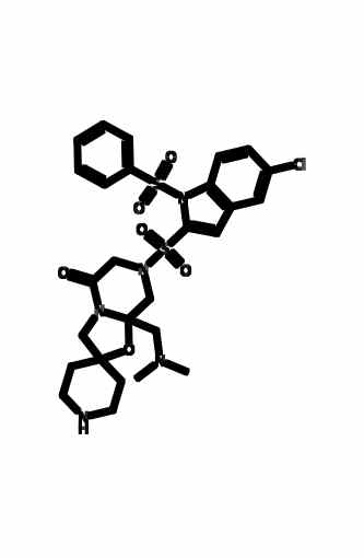 CN(C)CC12CN(S(=O)(=O)c3cc4cc(Cl)ccc4n3S(=O)(=O)c3ccccc3)CC(=O)N1CC1(CCNCC1)O2